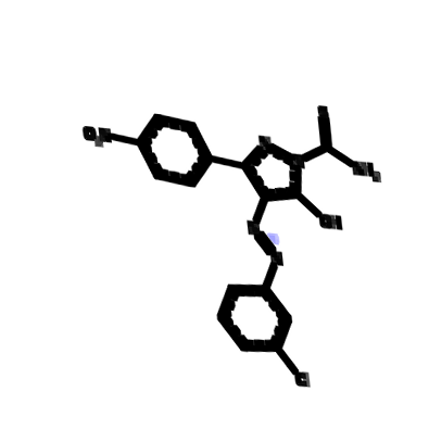 NC(=S)n1nc(-c2ccc([N+](=O)[O-])cc2)c(/N=N/c2cccc(Cl)c2)c1O